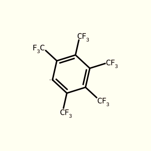 FC(F)(F)c1[c]c(C(F)(F)F)c(C(F)(F)F)c(C(F)(F)F)c1C(F)(F)F